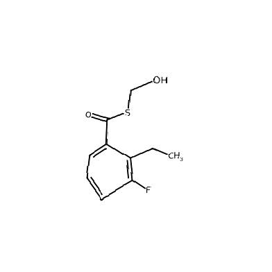 CCc1c(F)cccc1C(=O)SCO